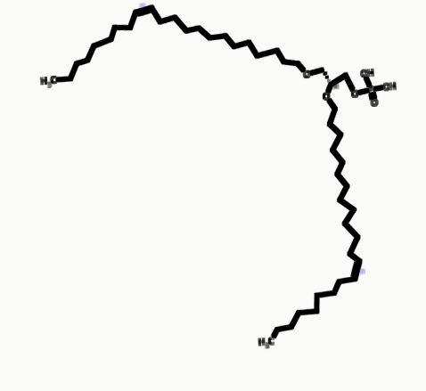 CCCCCCCC/C=C\CCCCCCCCCCCCOC[C@H](COP(=O)(O)O)OCCCCCCCCCCCC/C=C\CCCCCCCC